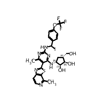 Cc1nc(NC(I)c2ccc(OC(F)(F)F)cc2)nc(N[C@@H]2C[C@H](CO)[C@@H](O)[C@H]2O)c1-c1nc2ccnc(C)c2s1